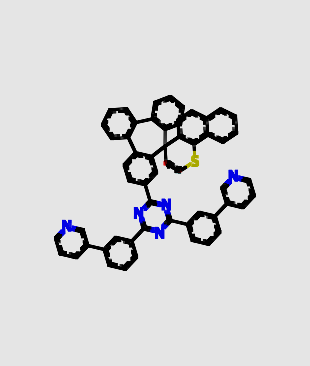 c1cncc(-c2cccc(-c3nc(-c4cccc(-c5cccnc5)c4)nc(-c4ccc5c(c4)C4(c6ccccc6Sc6c4ccc4ccccc64)c4ccccc4-c4ccccc4-5)n3)c2)c1